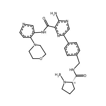 BN1CCC[C@H]1C(=O)NCc1ccc(-c2cnc(N)c(C(=O)Nc3cnccc3N3CCOCC3)n2)cc1